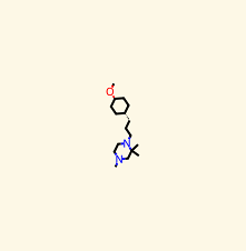 CO[C@H]1CC[C@H](CCCN2CCN(C)CC2(C)C)CC1